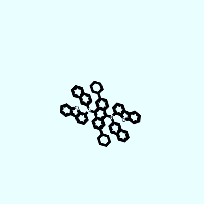 c1ccc2cc(N(c3c4ccc(C5CCCCC5)cc4c(N(c4ccc5ccccc5c4)c4cccc5c4oc4ccccc45)c4ccc(C5CCCCC5)cc34)c3cccc4c3oc3ccccc34)ccc2c1